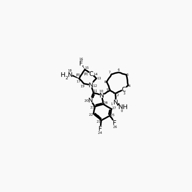 N=N[C]1CCCCCCC1n1c(N2CC[C@@H](F)[C@H](N)C2)nc2cc(F)c(F)cc21